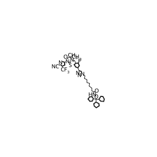 CC1(C)C(=O)N(c2cnc(C#N)c(C(F)(F)F)c2)C(=S)N1Cc1ccc(-c2cn(CCCCCCCCC(=O)NOC(c3ccccc3)(c3ccccc3)c3ccccc3)nn2)cc1F